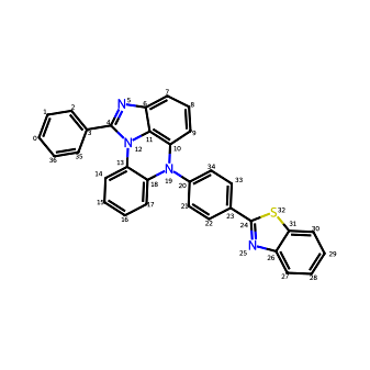 c1ccc(-c2nc3cccc4c3n2-c2ccccc2N4c2ccc(-c3nc4ccccc4s3)cc2)cc1